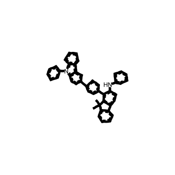 CC1(C)c2ccccc2-c2ccc(Nc3ccccc3)c(-c3ccc(-c4ccc5c(c4)c4ccccc4n5-c4ccccc4)cc3)c21